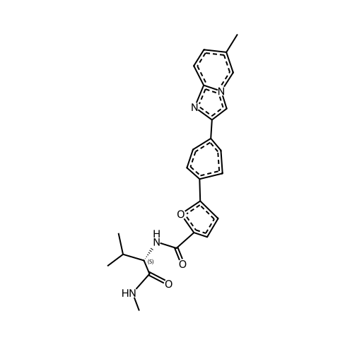 CNC(=O)[C@@H](NC(=O)c1ccc(-c2ccc(-c3cn4cc(C)ccc4n3)cc2)o1)C(C)C